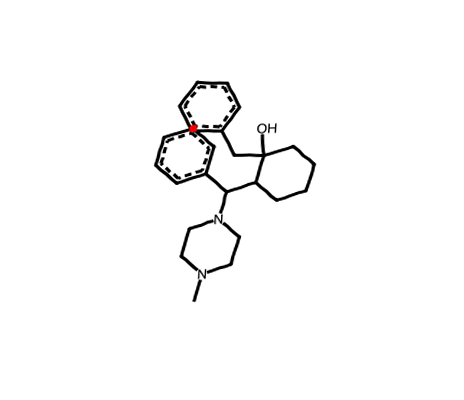 CN1CCN(C(c2ccccc2)C2CCCCC2(O)Cc2ccccc2)CC1